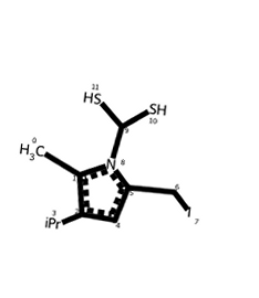 Cc1c(C(C)C)cc(CI)n1C(S)S